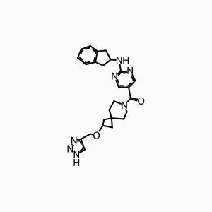 O=C(c1cnc(NC2Cc3ccccc3C2)nc1)N1CCC2(CC1)CC(OCc1c[nH]nn1)C2